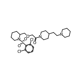 O=C(COCC1CCCCN1S(=O)(=O)c1c(Cl)cccc1Cl)N1CCC(CCN2CCCCC2)CC1